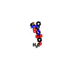 COc1ccc(S(=O)(=O)N2CCN([C@@H](CC3CCCCC3)C(=O)Nc3nccs3)C(=O)C2)cc1